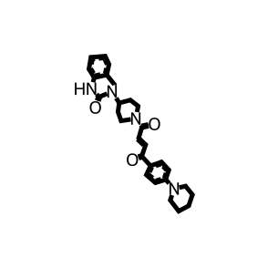 O=C(C=CC(=O)N1CCC(N2Cc3ccccc3NC2=O)CC1)c1ccc(N2CCCCC2)cc1